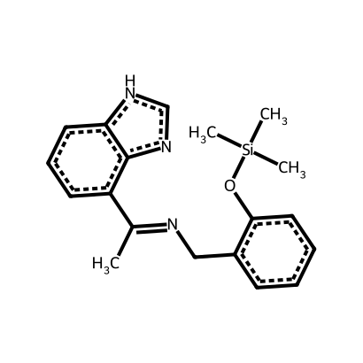 CC(=NCc1ccccc1O[Si](C)(C)C)c1cccc2[nH]cnc12